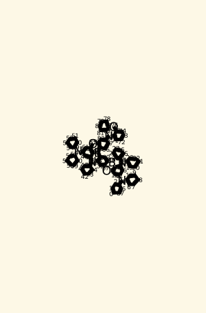 c1ccc(N(c2ccccc2)c2cc3c4c(c2)N(c2ccccc2)c2ccccc2B4c2cc4c(cc2O3)N(c2ccccc2)c2cc(N(c3ccccc3)c3ccccc3)cc3c2B4c2ccc(N4c5ccccc5Oc5ccccc54)cc2O3)cc1